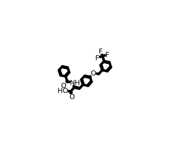 O=C(O)C(=Cc1ccc(OCc2cccc(C(F)(F)F)c2)cc1)NC(=O)c1ccccc1